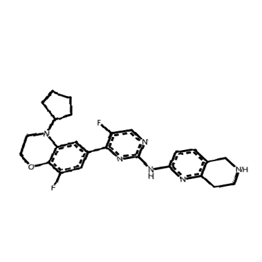 Fc1cnc(Nc2ccc3c(n2)CCNC3)nc1-c1cc(F)c2c(c1)N(C1CCCC1)CCO2